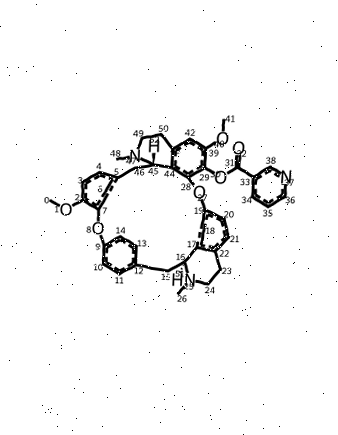 COc1ccc2cc1Oc1ccc(cc1)C[C@H]1c3cc(ccc3CCN1C)Oc1c(OC(=O)c3cccnc3)c(OC)cc3c1[C@H](C2)N(C)CC3